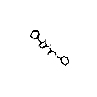 O=C(COC1CCCCC1)Nc1nnc(-c2ccccn2)[nH]1